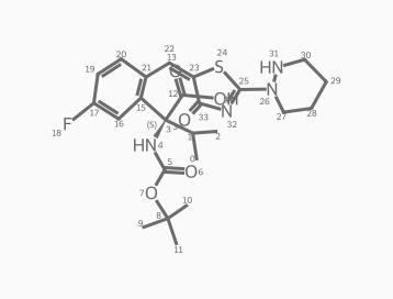 CC(C)[C@@](NC(=O)OC(C)(C)C)(C(=O)O)c1cc(F)ccc1C=C1SC(N2CCCCN2)=NC1=O